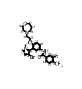 Cn1ncc(Br)c1-c1cc(NC(=O)c2ccc(C(F)(F)F)c(F)c2)ccc1OCCN1CCCOCC1